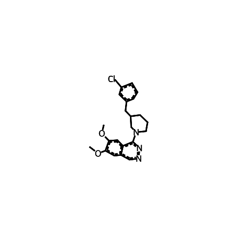 COc1cc2cnnc(N3CCCC(Cc4cccc(Cl)c4)C3)c2cc1OC